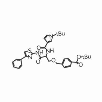 CC(C)(C)OC(=O)c1ccc(COCC(NC(=O)c2ccn(C(C)(C)C)c2)C(=O)Nc2nc(-c3ccccc3)cs2)cc1